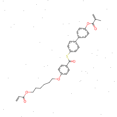 C=CC(=O)OCCCCCCOc1ccc(C(=O)Sc2ccc(-c3ccc(OC(=O)C(=C)C)cc3)cc2)cc1